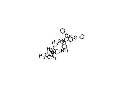 C[C@H]1C[C@H](Nc2ccc3c(-c4ccc(OCc5ccccc5)nc4OCc4ccccc4)nn(C)c3c2)CCN1C(=O)OC(C)(C)C